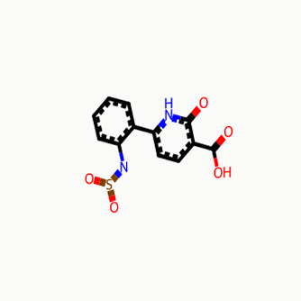 O=C(O)c1ccc(-c2ccccc2N=S(=O)=O)[nH]c1=O